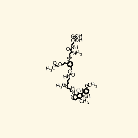 COc1ccc2[nH]c3c(C)c4ccnc(NCCCN(C)CCCNC(=O)OCc5ccc(SSCC(N)C(=O)NCCOP(=O)(O)O)c(CCOCC(C)=O)c5)c4c(C)c3c2c1